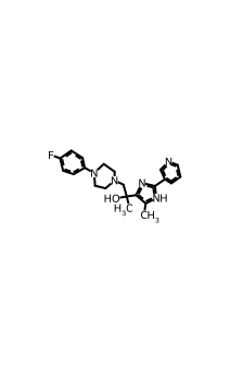 Cc1[nH]c(-c2cccnc2)nc1C(C)(O)CN1CCN(c2ccc(F)cc2)CC1